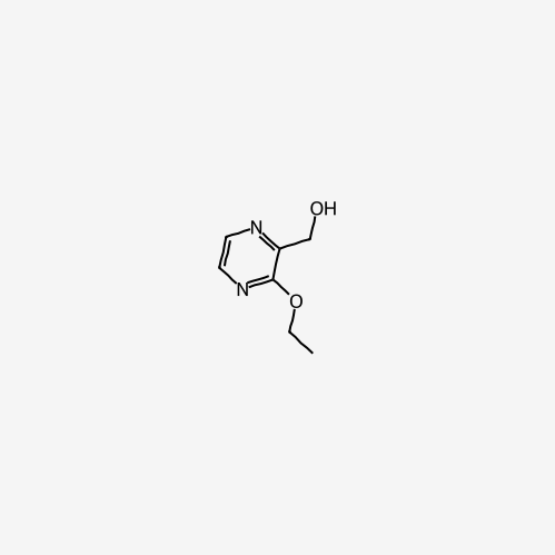 CCOc1nccnc1CO